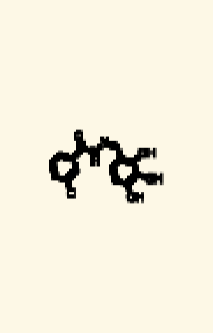 O=C(N/N=C\c1ccc(O)c(O)c1O)c1cccc(Cl)c1